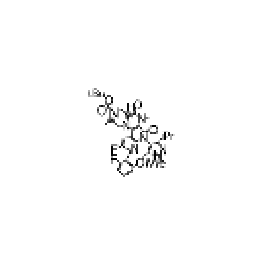 COc1cccc(F)c1-c1nc2c(cc1F)c1c(c(=O)n2-c2c(C(C)C)nn(C)c2C)N(C)C(=O)[C@H]2CN(C(=O)OC(C)(C)C)[C@H](C)CN12